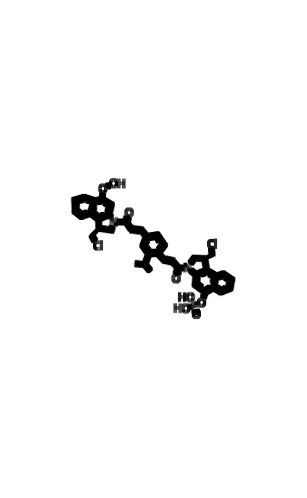 CC(C)c1cc(/C=C/C(=O)N2C[C@@H](CCl)c3c2cc(OO)c2ccccc32)ccc1/C=C/C(=O)N1C[C@@H](CCl)c2c1cc(OP(=O)(O)O)c1ccccc21